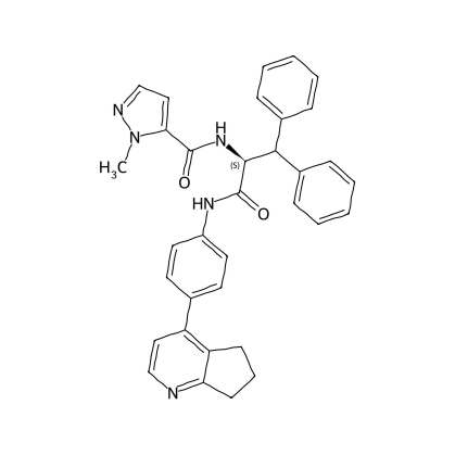 Cn1nccc1C(=O)N[C@H](C(=O)Nc1ccc(-c2ccnc3c2CCC3)cc1)C(c1ccccc1)c1ccccc1